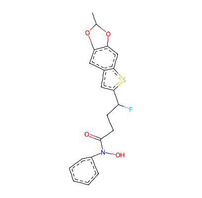 CC1Oc2cc3cc(C(F)CCC(=O)N(O)c4ccccc4)sc3cc2O1